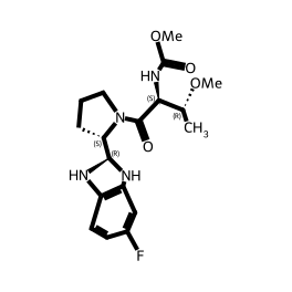 COC(=O)N[C@H](C(=O)N1CCC[C@H]1[C@@H]1Nc2ccc(F)cc2N1)[C@@H](C)OC